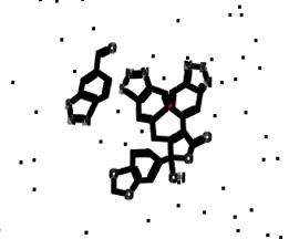 O=C1OC(O)(c2ccc3c(c2)OCO3)C(Cc2ccc3nnsc3c2)=C1c1ccc2nsnc2c1.O=Cc1ccc2nnsc2c1